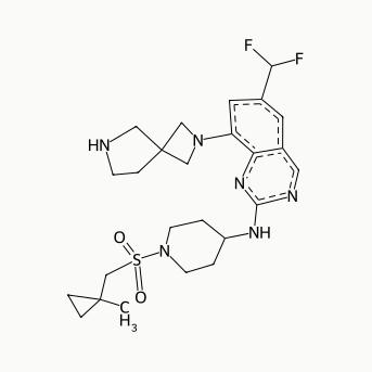 CC1(CS(=O)(=O)N2CCC(Nc3ncc4cc(C(F)F)cc(N5CC6(CCNC6)C5)c4n3)CC2)CC1